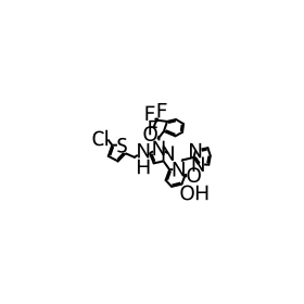 O=C(c1ccccc1C(F)(F)F)n1nc(-c2ccc(O)c(=O)n2Cc2ncccn2)cc1NCc1ccc(Cl)s1